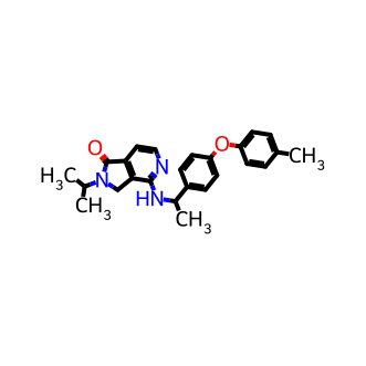 Cc1ccc(Oc2ccc(C(C)Nc3nccc4c3CN(C(C)C)C4=O)cc2)cc1